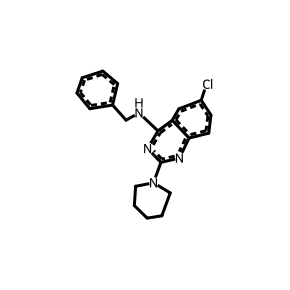 Clc1ccc2nc(N3CCCCC3)nc(NCc3ccccc3)c2c1